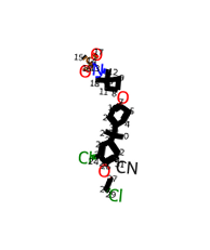 CC(C)(c1ccc(OC2CC3(C2)CN(S(C)(=O)=O)C3)cc1)c1cc(Cl)c(OCCCl)c(C#N)c1